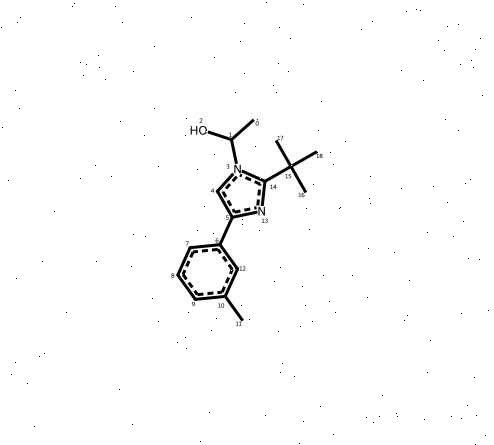 [CH2]C(O)n1cc(-c2cccc(C)c2)nc1C(C)(C)C